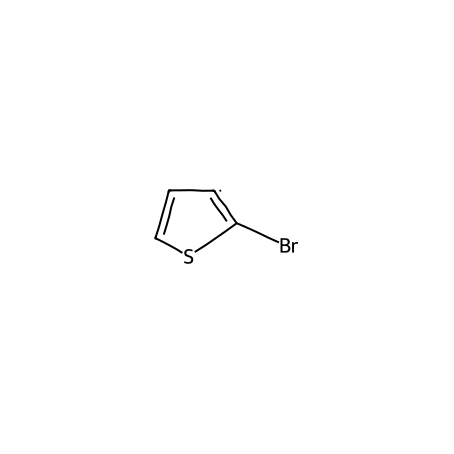 Brc1[c]ccs1